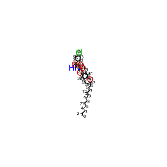 CC(C)=CCC/C(C)=C/CC/C(C)=C/CC[C@]1(C)CCc2c(C)c(OC(=O)NS(=O)(=O)c3ccc(Cl)cc3)c(C)c(C)c2O1